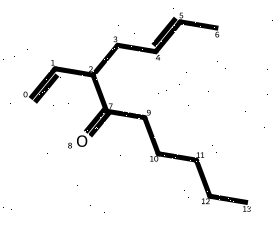 C=CC(CC=CC)C(=O)CCCCC